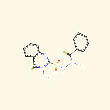 CC(=O)Nn1c(S(=O)(=O)NN(C)C(=S)c2ccccc2)nc2ccccc2c1=S